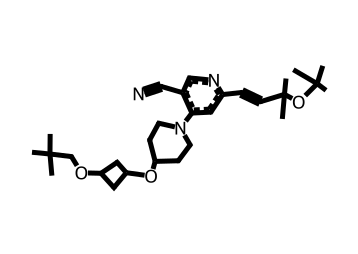 CC(C)(C)COC1CC(OC2CCN(c3cc(C#CC(C)(C)OC(C)(C)C)ncc3C#N)CC2)C1